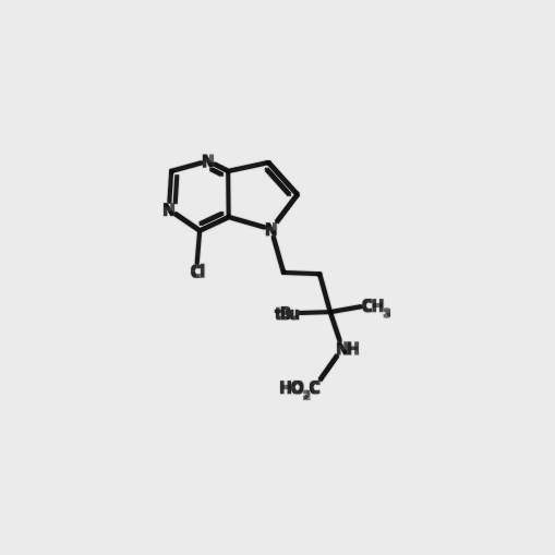 CC(C)(C)C(C)(CCn1ccc2ncnc(Cl)c21)NC(=O)O